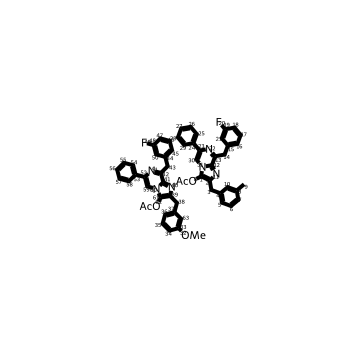 CC(=O)Oc1c(Cc2cccc(C)c2)nc2c(Cc3cccc(F)c3)nc(-c3ccccc3)cn12.COc1cccc(Cc2nc3c(Cc4cccc(F)c4)nc(-c4ccccc4)cn3c2OC(C)=O)c1